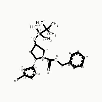 CC(C)(C)[Si](C)(C)O[C@@H]1C[C@@H](c2ncc(I)[nH]2)N(C(=O)OCc2ccccc2)C1